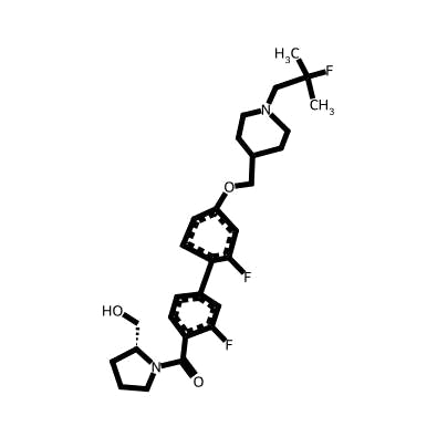 CC(C)(F)CN1CCC(COc2ccc(-c3ccc(C(=O)N4CCC[C@@H]4CO)c(F)c3)c(F)c2)CC1